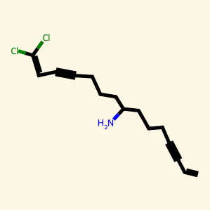 C=CC#CCCCC(N)CCCC#CC=C(Cl)Cl